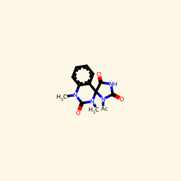 CC(=O)N1C(=O)NC(=O)C12c1ccccc1N(C)C(=O)N2C